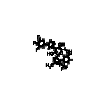 Cc1nc([C@@H]2O[C@H](CO)[C@H](O)[C@H](n3cc(-c4cc(F)c(F)c(F)c4)cn3)[C@H]2O)n(-c2cc(Cl)ccc2C(F)(F)F)n1